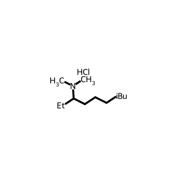 CCC(C)CCCC(CC)N(C)C.Cl